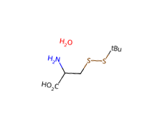 CC(C)(C)SSCC(N)C(=O)O.O